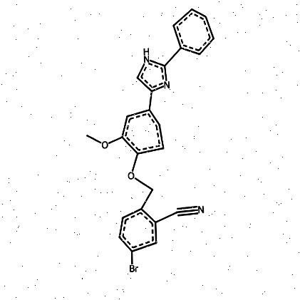 COc1cc(-c2c[nH]c(-c3ccccc3)n2)ccc1OCc1ccc(Br)cc1C#N